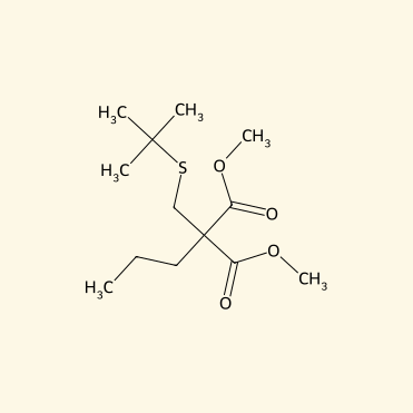 CCCC(CSC(C)(C)C)(C(=O)OC)C(=O)OC